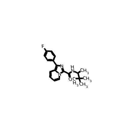 CC(NC(=O)c1nc(-c2ccc(F)cc2)c2ccccn12)C(C)(C)C